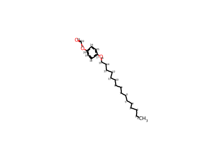 CCCCCCCCCCCCCCCCOc1ccc(O[C]=O)cc1